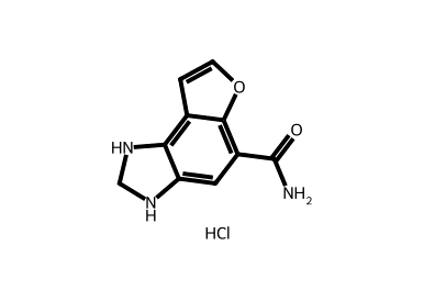 Cl.NC(=O)c1cc2c(c3ccoc13)NCN2